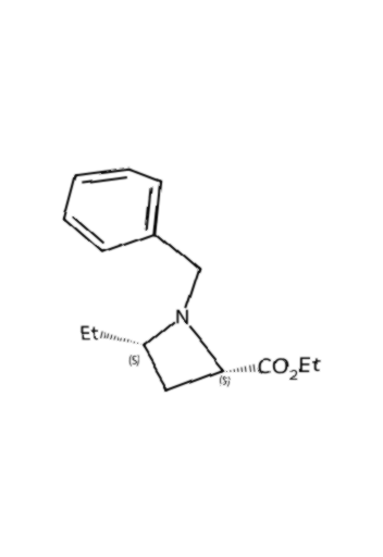 CCOC(=O)[C@@H]1C[C@H](CC)N1Cc1ccccc1